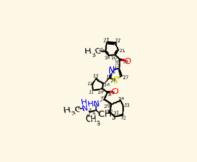 CN[C@@H](C)C(C)N[C@H](C(=O)C1CCC[C@H]1c1nc(C(=O)c2cccc(C)c2)cs1)C1CCCCC1